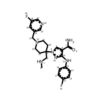 CNCC1(n2cc(C(N)=O)c(Nc3ccc(F)cc3)n2)CCN(Cc2cncc(F)c2)CC1